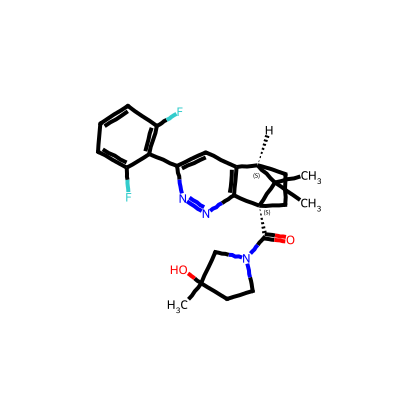 CC1(O)CCN(C(=O)[C@]23CC[C@H](c4cc(-c5c(F)cccc5F)nnc42)C3(C)C)C1